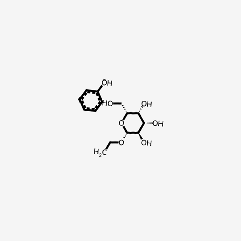 CCO[C@@H]1O[C@H](CO)[C@H](O)[C@H](O)[C@H]1O.Oc1ccccc1